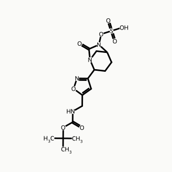 CC(C)(C)OC(=O)NCc1cc(C2CCC3CN2C(=O)N3OS(=O)(=O)O)no1